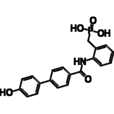 O=C(Nc1ccccc1CP(=O)(O)O)c1ccc(-c2ccc(O)cc2)cc1